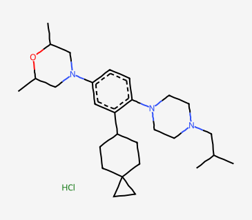 CC(C)CN1CCN(c2ccc(N3CC(C)OC(C)C3)cc2C2CCC3(CC2)CC3)CC1.Cl